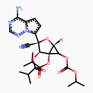 CC(C)OC(=O)OC1[C@H]2O[C@@](C#N)(c3ccc4c(N)ncnn34)[C@H](OC(=O)C(C)C)[C@@]12OC(=O)C(C)C